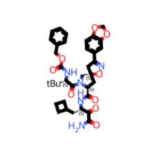 CC(C)(C)[C@H](NC(=O)OCc1ccccc1)C(=O)N1C[C@@]2(CC(c3ccc4c(c3)OCO4)=NO2)C[C@H]1C(=O)N[C@@H](CC1CCC1)C(=O)C(N)=O